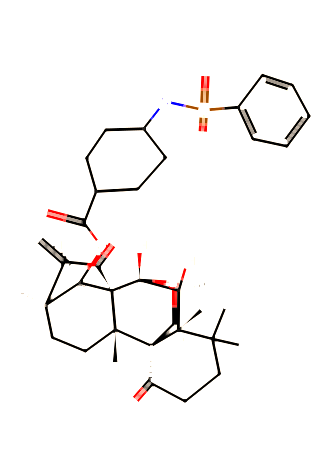 C=C1C(=O)[C@]23[C@H](OC(=O)C4CCC(NS(=O)(=O)c5ccccc5)CC4)[C@H]1CC[C@H]2[C@@]12CO[C@]3(O)[C@@H](O)[C@@H]1C(C)(C)CCC2=O